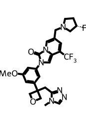 COc1cc(-n2cc3c(C(F)(F)F)cc(CN4CC[C@H](F)C4)cn3c2=O)cc(C2(Cc3nncn3C)COC2)c1